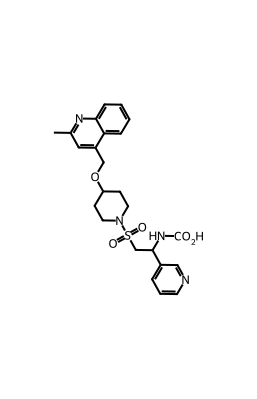 Cc1cc(COC2CCN(S(=O)(=O)CC(NC(=O)O)c3cccnc3)CC2)c2ccccc2n1